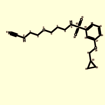 N#CNCCOCCCNS(=O)(=O)c1cccc(OCC2CC2)c1